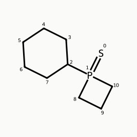 S=P1(C2CCCCC2)CCC1